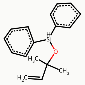 C=CC(C)(C)O[SiH](c1ccccc1)c1ccccc1